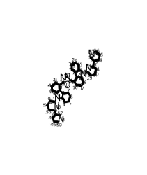 C1=C(n2c3ccccc3c3c(-c4nnc(-c5cccc6c5c5ccccc5n6-c5cccc(-c6cccnc6)n5)o4)cccc32)N=C(c2cccnc2)CC1